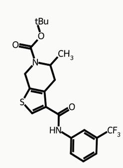 CC1Cc2c(C(=O)Nc3cccc(C(F)(F)F)c3)csc2CN1C(=O)OC(C)(C)C